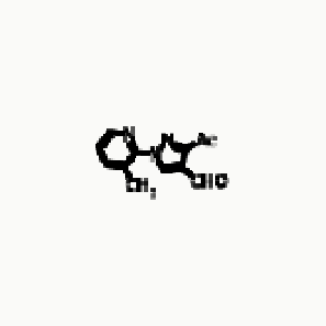 CC(=O)c1nn(-c2ncccc2C)cc1C=O